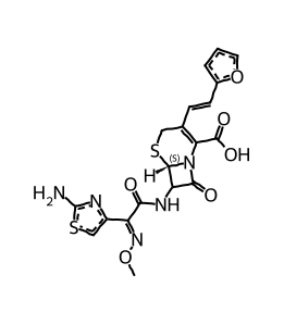 CON=C(C(=O)NC1C(=O)N2C(C(=O)O)=C(C=Cc3ccco3)CS[C@@H]12)c1csc(N)n1